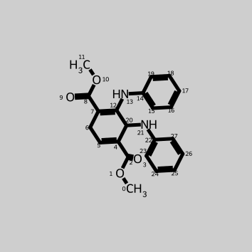 COC(=O)C1=CCC(C(=O)OC)=C(Nc2ccccc2)C1Nc1ccccc1